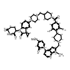 CNc1ccn(-c2ccnc3c2cc(CN2CCC(c4c(F)cc(C(=O)N5CCC(CN6CCN(c7ccc8c(c7)C7(CC7)C(=O)N8C7CCC(=O)NC7=O)CC6)CC5)cc4F)CC2)n3C)c(=O)c1